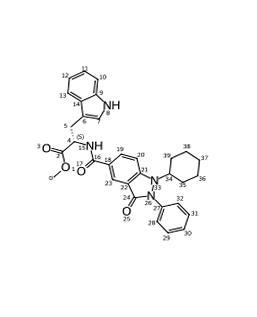 COC(=O)[C@H](Cc1c[nH]c2ccccc12)NC(=O)c1ccc2c(c1)c(=O)n(-c1ccccc1)n2C1CCCCC1